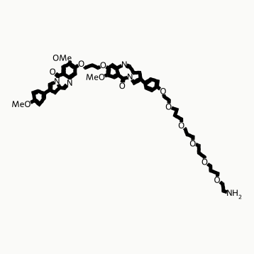 COc1ccc(C2=CN3C(=O)c4cc(OC)c(OCCCOc5cc6c(cc5OC)C(=O)N5C=C(c7ccc(OCCOCCCOCCCOCCCOCCCOCCN)cc7)CC5C=N6)cc4N=CC3C2)cc1